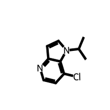 CC(C)n1ccc2nccc(Cl)c21